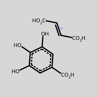 O=C(O)/C=C/C(=O)O.O=C(O)c1cc(O)c(O)c(O)c1